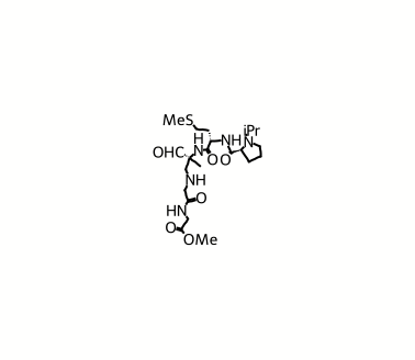 COC(=O)CNC(=O)CNC[C@@](C)(C=O)NC(=O)[C@H](CCSC)NC(=O)[C@@H]1CCCN1C(C)C